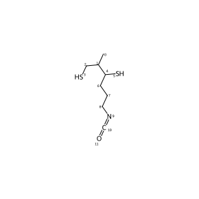 CC(CS)C(S)CCCN=C=O